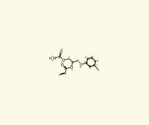 C=CC(=O)OC(COC(N)=O)COc1cccc(C)c1